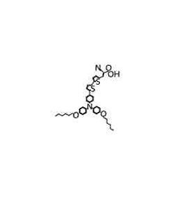 CCCCCCOc1ccc(N(c2ccc(OCCCCCC)cc2)c2ccc(-c3ccc(-c4ccc(/C=C(\C#N)C(=O)O)s4)s3)cc2)cc1